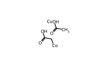 CC(=O)O.O=C(O)[CH2][Co].[Cu]